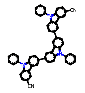 N#Cc1ccc2c(c1)c1cc(-c3ccc4c(c3)c3cc(-c5ccc6c(c5)c5cc(C#N)ccc5n6-c5ccccc5)ccc3n4-c3ccccc3)ccc1n2-c1ccccc1